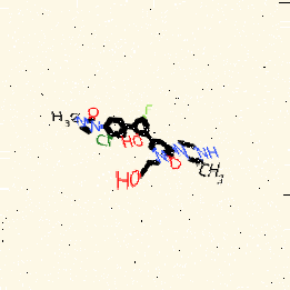 C[C@@H]1CN(c2cc(-c3cc(F)cc(-c4ccc(-n5ccn(C)c5=O)c(Cl)c4)c3O)cn(CCCO)c2=O)CCN1